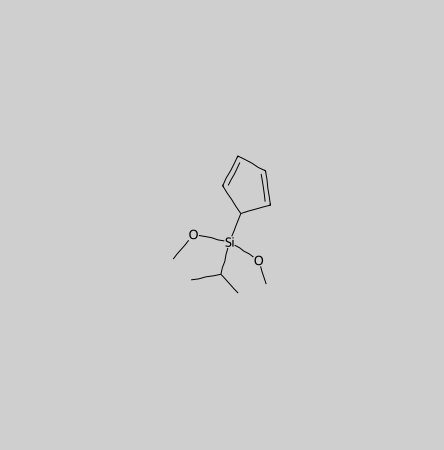 CO[Si](OC)(C(C)C)C1C=CC=C1